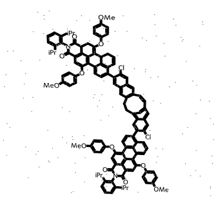 COc1ccc(OC2=C3c4c(c(Oc5ccc(OC)cc5)cc5c4C(C2)C(=O)N(c2c(C(C)C)cccc2C(C)C)C5=O)-c2ccc(-c4cc5cc6c(cc5cc4Cl)/C=C\c4cc(c5cc(-c7ccc8c9c(Oc%10ccc(OC)cc%10)cc%10c%11c(cc(Oc%12ccc(OC)cc%12)c(c%12cccc7c%128)c%119)C(=O)N(c7c(C(C)C)cccc7C(C)C)C%10=O)c(Cl)cc5c4)CC6)c4c2C3CC=C4)cc1